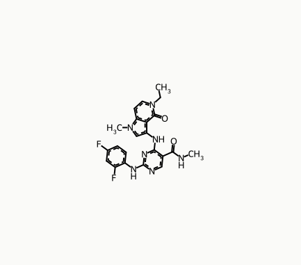 CCn1ccc2c(c(Nc3nc(Nc4ccc(F)cc4F)ncc3C(=O)NC)cn2C)c1=O